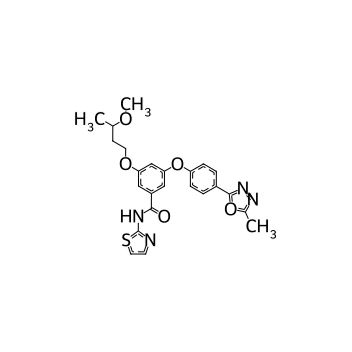 COC(C)CCOc1cc(Oc2ccc(-c3nnc(C)o3)cc2)cc(C(=O)Nc2nccs2)c1